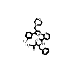 NC(=O)C(=O)C(Cc1ccccc1)NC(=O)c1cccnc1-n1cc(CN2CCOCC2)c(-c2cccc(C(F)(F)F)c2)n1